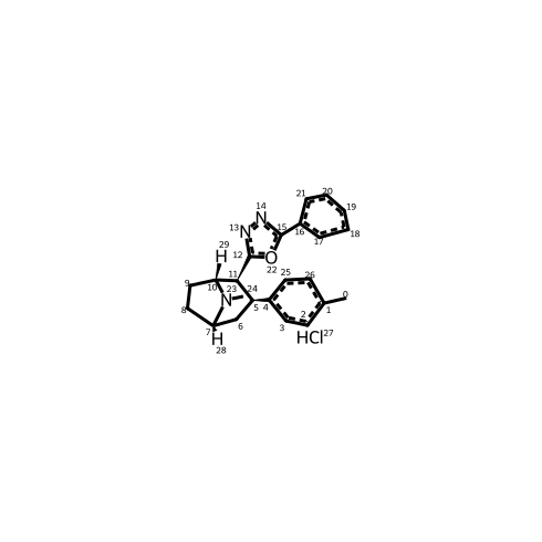 Cc1ccc([C@H]2C[C@@H]3CC[C@H]([C@H]2c2nnc(-c4ccccc4)o2)N3C)cc1.Cl